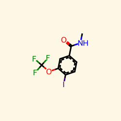 CNC(=O)c1ccc(I)c(OC(F)(F)F)c1